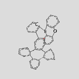 c1ccc2c(c1)Oc1ccccc1B2c1ccccc1-c1ccc2c(c1)-c1ccccc1-c1ccccc1-c1ccccc1-2